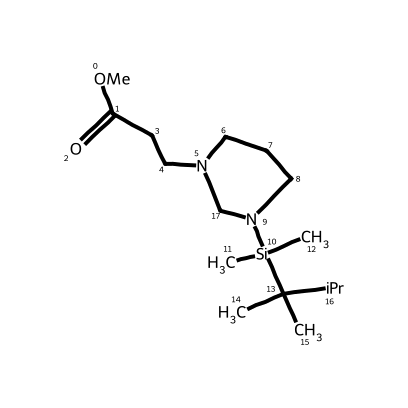 COC(=O)CCN1CCCN([Si](C)(C)C(C)(C)C(C)C)C1